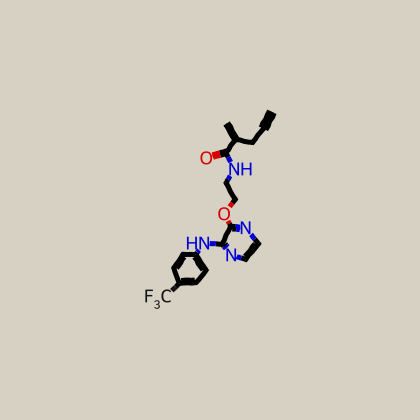 C#CCC(=C)C(=O)NCCOc1nccnc1Nc1ccc(C(F)(F)F)cc1